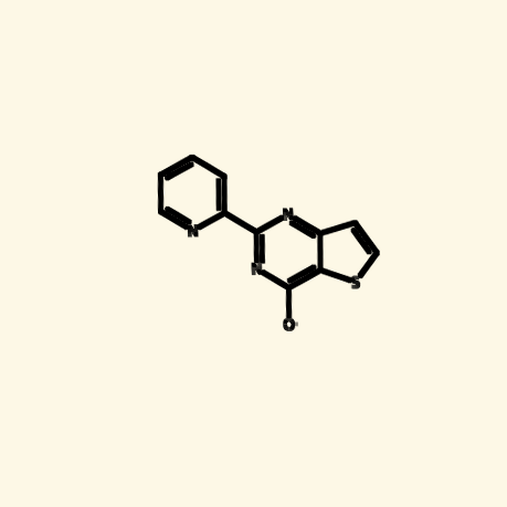 [O]c1nc(-c2ccccn2)nc2ccsc12